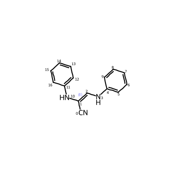 N#C/C(=C\Nc1ccccc1)Nc1ccccc1